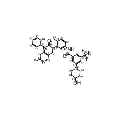 Cc1cc2c(cn1)cc(-c1cc(NC(=O)c3cc(N4CCC(O)CC4)cc(C(F)(F)F)c3)ccc1C)c(=O)n2-c1ccccc1